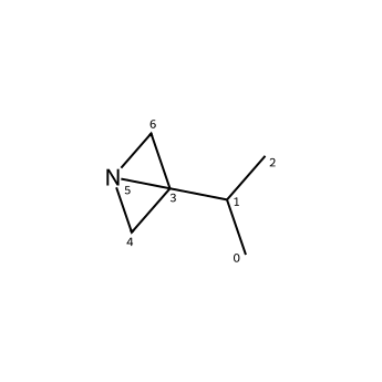 CC(C)C12CN1C2